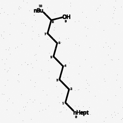 CCCCCCCCCCCCCCC(O)CCCC